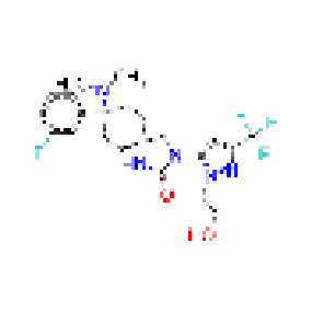 CN(C)[C@]1(c2cccc(F)c2)CC[C@@]2(CC1)CN(c1cc(C(F)(F)F)nn1CCO)C(=O)N2